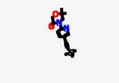 CC1(C)CN(c2ccc(C#C[Si](C)(C)C)cn2)C(=O)CO1